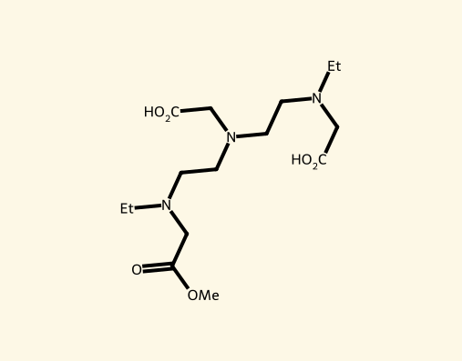 CCN(CCN(CCN(CC)CC(=O)OC)CC(=O)O)CC(=O)O